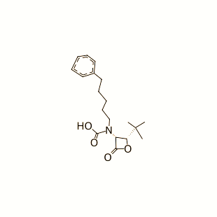 CC(C)(C)[C@@H]1OC(=O)[C@@H]1N(CCCCCc1ccccc1)C(=O)O